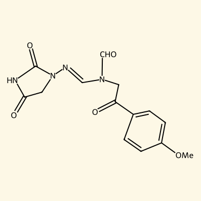 COc1ccc(C(=O)CN(C=O)C=NN2CC(=O)NC2=O)cc1